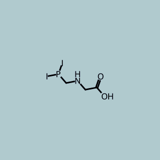 O=C(O)CNCP(I)I